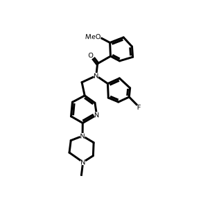 COc1ccccc1C(=O)N(Cc1ccc(N2CCN(C)CC2)nc1)c1ccc(F)cc1